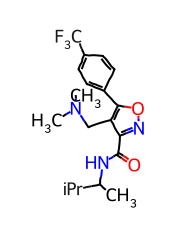 CC(C)C(C)NC(=O)c1noc(-c2ccc(C(F)(F)F)cc2)c1CN(C)C